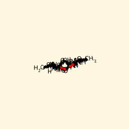 C=CCCC(=O)Nc1ncnc2c1ncn2[C@@H]1O[C@@H]2COP(=O)(O)O[C@@H]3C(COP(=O)(O)CO[C@H]2[C@H]1F)O[C@@H](n1cnc2c(NC(=O)CCC=C)ncnc21)[C@@H]3F